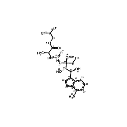 CCC(CC)COC(=O)[C@H](C)N[PH](=O)O[C@@](CF)(OC)[C@@H](O)[C@@H](O)c1ccc2c(N)ncnn12